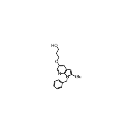 CC(C)(C)c1cc2cc(OCCCO)cnc2n1Cc1ccccc1